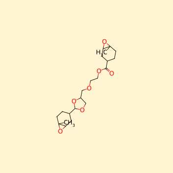 CC12CCC(C(=O)OCCOCC3COC(C4CCC5(C)OC5C4)O3)CC1O2